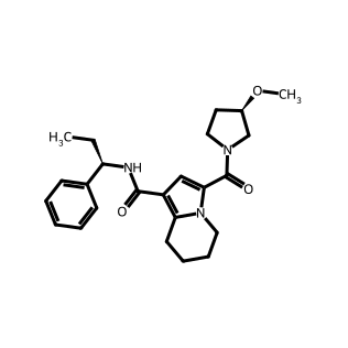 CC[C@@H](NC(=O)c1cc(C(=O)N2CC[C@@H](OC)C2)n2c1CCCC2)c1ccccc1